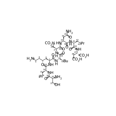 CC[C@H](C)[C@H](NC(=O)[C@H](CCCCN)NC(=O)[C@H](CC(C)C)NC(=O)[C@@H](N)CO)C(=O)N[C@@H](CC(=O)O)C(=O)N[C@@H](CC(N)=O)C(=O)N[C@@H](CC(C)C)C(=O)N[C@@H](CC(=O)O)C(=O)O